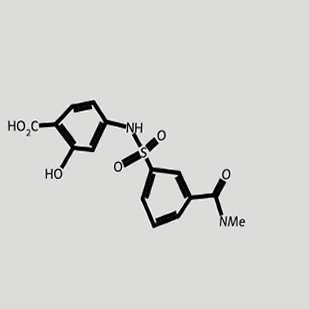 CNC(=O)c1cccc(S(=O)(=O)Nc2ccc(C(=O)O)c(O)c2)c1